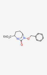 CCOC(=O)C1CCC2CN1C(=O)N2OCc1ccccc1